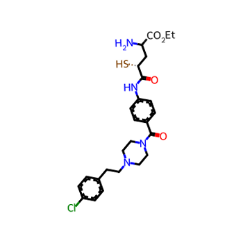 CCOC(=O)C(N)C[C@@H](S)C(=O)Nc1ccc(C(=O)N2CCN(CCc3ccc(Cl)cc3)CC2)cc1